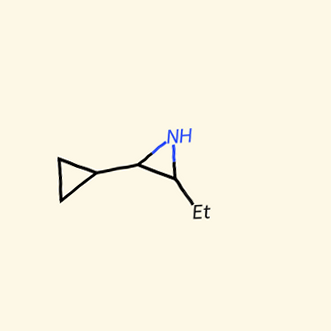 CCC1NC1C1CC1